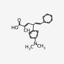 CC(=CC(C=Cc1ccccc1)c1ccc(N(C)C)cc1)C(=O)O